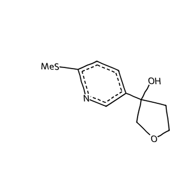 CSc1ccc(C2(O)CCOC2)cn1